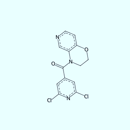 O=C(c1cc(Cl)nc(Cl)c1)N1CCOc2ccncc21